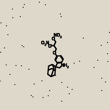 NCC1(c2cccc(OCC(CO[N+](=O)[O-])O[N+](=O)[O-])c2)C2CC3CC(C2)CC1C3